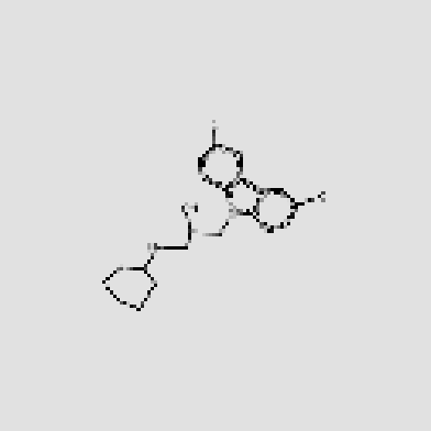 OC(CNC1CCCCC1)Cn1c2ccc(Cl)cc2c2cc(Cl)ccc21